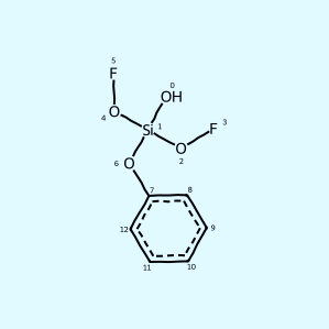 O[Si](OF)(OF)Oc1ccccc1